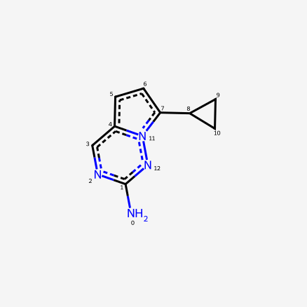 Nc1ncc2ccc(C3CC3)n2n1